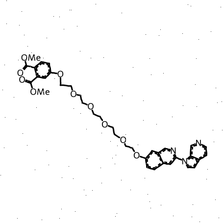 COC(=O)c1ccc(OCCOCCOCCOCCOCCOc2ccc3cc(-n4ccc5ccncc54)ncc3c2)cc1C(=O)OC